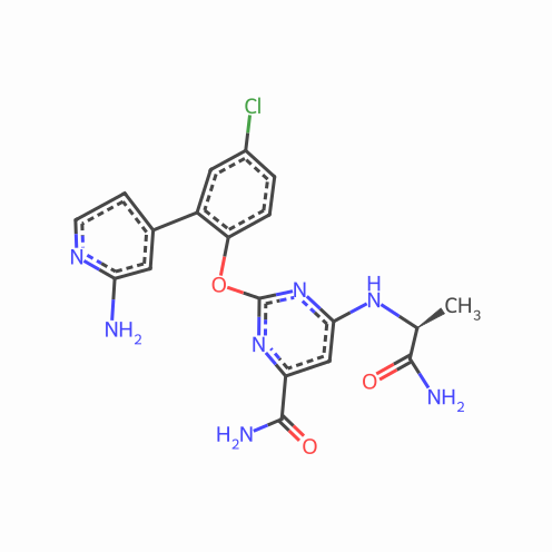 C[C@H](Nc1cc(C(N)=O)nc(Oc2ccc(Cl)cc2-c2ccnc(N)c2)n1)C(N)=O